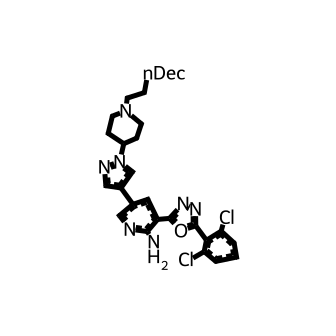 CCCCCCCCCCCCN1CCC(n2cc(-c3cnc(N)c(-c4nnc(-c5c(Cl)cccc5Cl)o4)c3)cn2)CC1